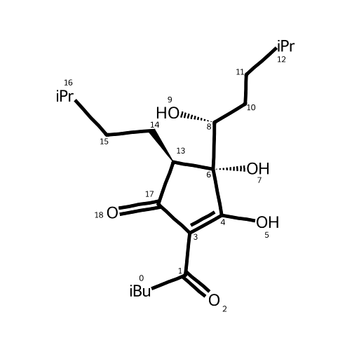 CCC(C)C(=O)C1=C(O)[C@](O)([C@H](O)CCC(C)C)[C@H](CCC(C)C)C1=O